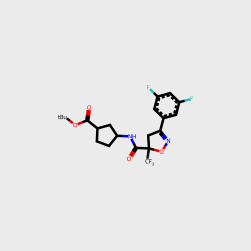 CC(C)(C)OC(=O)C1CCC(NC(=O)C2(C(F)(F)F)CC(c3cc(F)cc(F)c3)=NO2)C1